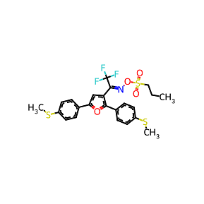 CCCS(=O)(=O)O/N=C(/c1cc(-c2ccc(SC)cc2)oc1-c1ccc(SC)cc1)C(F)(F)F